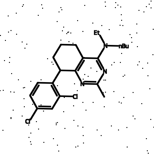 CCCCN(CC)c1nc(C)nc2c1CCCC2c1ccc(Cl)cc1Cl